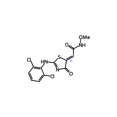 CONC(=O)/C=C1\SC(Nc2c(Cl)cccc2Cl)=NC1=O